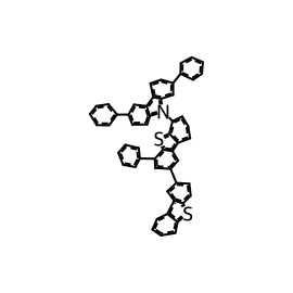 c1ccc(-c2ccc3c(c2)c2ccc(-c4ccccc4)cc2n3-c2cccc3c2sc2c(-c4ccccc4)cc(-c4ccc5sc6ccccc6c5c4)cc23)cc1